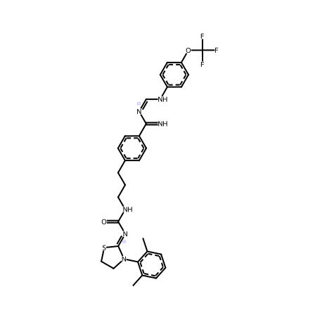 Cc1cccc(C)c1N1CCS/C1=N\C(=O)NCCCc1ccc(C(=N)/N=C\Nc2ccc(OC(F)(F)F)cc2)cc1